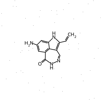 C=Cc1[nH]c2cc(N)cc3c2c1C=NNC3=O